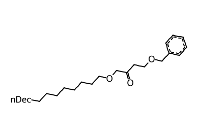 CCCCCCCCCCCCCCCCCCOCC(=O)CCOCc1ccccc1